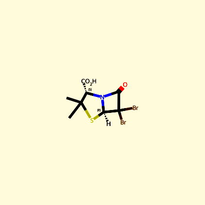 CC1(C)S[C@H]2N(C(=O)C2(Br)Br)[C@H]1C(=O)O